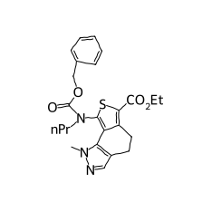 CCCN(C(=O)OCc1ccccc1)c1sc(C(=O)OCC)c2c1-c1c(cnn1C)CC2